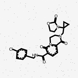 O=C(NCc1ccc(Cl)cc1)c1ccc2n(c1=O)CCN(CC1(N3CCOC3=O)CC1)C2=O